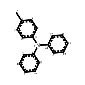 Cc1ccc(N(c2[c]cccc2)c2ccccc2)cc1